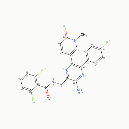 Cn1cc(-c2nc(CNC(=O)c3c(F)cccc3F)c(N)nc2-c2ccc(F)cc2)ccc1=O